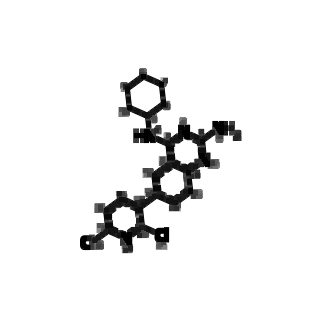 Nc1nc(NC2CCCCC2)c2cc(-c3ccc(Cl)nc3Cl)ccc2n1